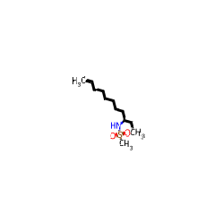 CCCCCCCCC(CC)NS(C)(=O)=O